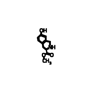 COC(=O)[C@H]1Cc2ccc(O)cc2CN1